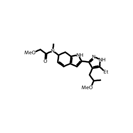 CCc1[nH]nc(-c2cc3c([nH]2)CC(N(C)C(=O)COC)C=C3)c1CC(C)OC